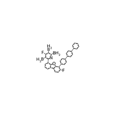 Bc1nc(-c2cccc3c2oc2c(-c4ccc(-c5ccc(-c6ccccc6)cc5)cc4)c(F)ccc23)c(B)c(F)c1B